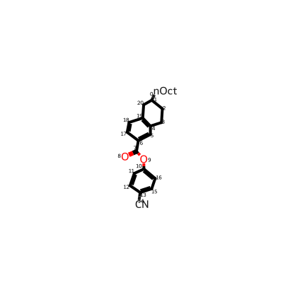 CCCCCCCCC1CCc2cc(C(=O)Oc3ccc(C#N)cc3)ccc2C1